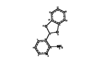 Nc1ncccc1C1Oc2c[c]ccc2O1